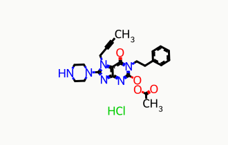 CC#CCn1c(N2CCNCC2)nc2nc(OOC(C)=O)n(CCc3ccccc3)c(=O)c21.Cl